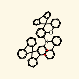 c1ccc(-c2ccccc2N(c2ccc3c(c2)C2(c4ccccc4-c4ccccc42)c2ccccc2-3)c2cccc3c2Oc2ccccc2C32c3ccccc3-c3ccccc32)cc1